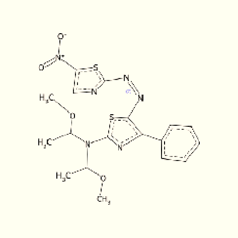 COC(C)N(c1nc(-c2ccccc2)c(/N=N\c2ncc([N+](=O)[O-])s2)s1)C(C)OC